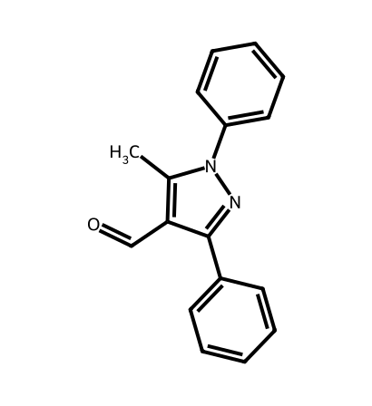 Cc1c(C=O)c(-c2ccccc2)nn1-c1ccccc1